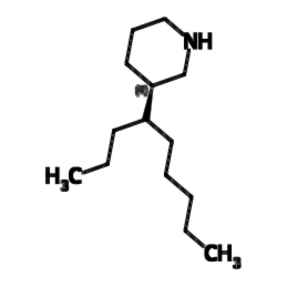 CCCCCC(CCC)[C@H]1CCCNC1